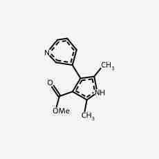 COC(=O)c1c(C)[nH]c(C)c1-c1cccnc1